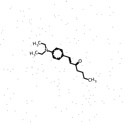 CCCCC(=O)/C=C/c1ccc(N(CC)CC)cc1